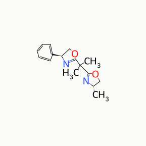 C[C@H]1COC(C(C)(C)C2=N[C@@H](c3ccccc3)CO2)=N1